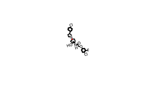 O=C(COc1ccc(Cl)c(F)c1)NC12CCC(N3CCC(c4ccc(Cl)cc4)C3)(CC1)CC2O